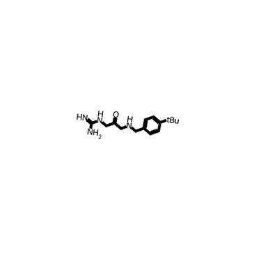 CC(C)(C)c1ccc(CNCC(=O)CNC(=N)N)cc1